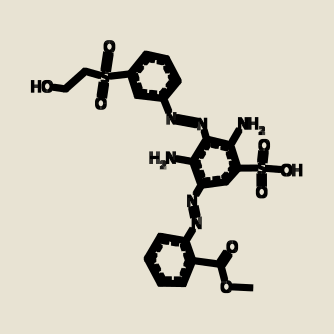 COC(=O)c1ccccc1/N=N/c1cc(S(=O)(=O)O)c(N)c(/N=N/c2cccc(S(=O)(=O)CCO)c2)c1N